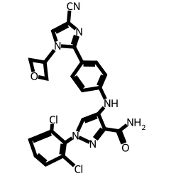 N#Cc1cn(C2COC2)c(-c2ccc(Nc3cn(-c4c(Cl)cccc4Cl)nc3C(N)=O)cc2)n1